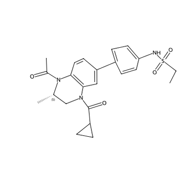 CCS(=O)(=O)Nc1ccc(-c2ccc3c(c2)N(C(=O)C2CC2)C[C@H](C)N3C(C)=O)cc1